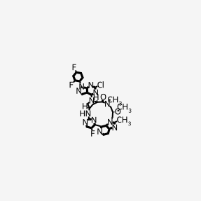 CO[C@H]1CN(C)C(=O)[C@@H]2C[C@@H](CN2c2nc(Cl)nc3c2cnn3-c2ccc(F)cc2F)Nc2ncc(F)c(n2)-c2nccc3nc(C)n(c23)C1